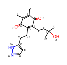 CC1=C(C)C(=O)C(CCC(C)(C)O)=C(CCc2ccn[nH]2)C1=O